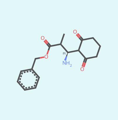 CC(C(=O)OCc1ccccc1)[C@H](N)C1C(=O)CCCC1=O